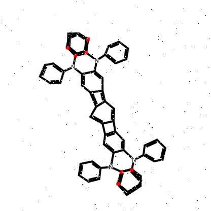 c1ccc(N(c2ccccc2)c2cc3c(cc2N(c2ccccc2)c2ccccc2)c2cc4c5cc(N(c6ccccc6)c6ccccc6)c(N(c6ccccc6)c6ccccc6)cc5c4cc32)cc1